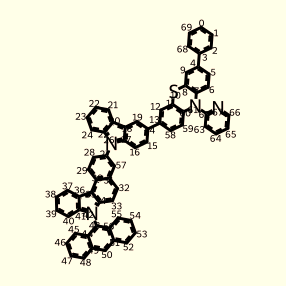 c1ccc(-c2ccc3c(c2)Sc2cc(-c4ccc5c(c4)c4ccccc4n5-c4ccc5c(ccc6c5c5ccccc5n6-c5c6ccccc6cc6ccccc56)c4)ccc2N3c2ccccn2)cc1